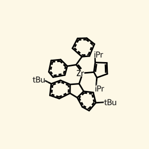 CC(C)C1=[C]([Zr](=[C](c2ccccc2)c2ccccc2)[CH]2c3cc(C(C)(C)C)ccc3-c3ccc(C(C)(C)C)cc32)C(C(C)C)C=C1